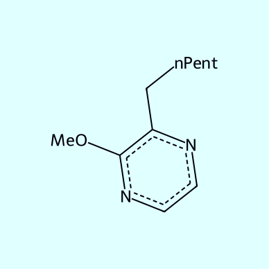 CCCCCCc1nccnc1OC